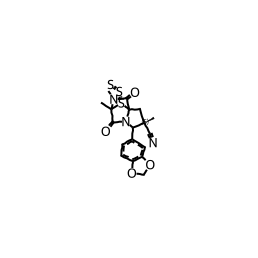 CN1C(=O)C23C[C@](C)(C#N)C(c4ccc5c(c4)OCO5)N2C(=O)C1(C)S3=S=S